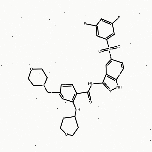 O=C(Nc1n[nH]c2ccc(S(=O)(=O)c3cc(F)cc(F)c3)cc12)c1ccc(CN2CCOCC2)cc1NC1CCOCC1